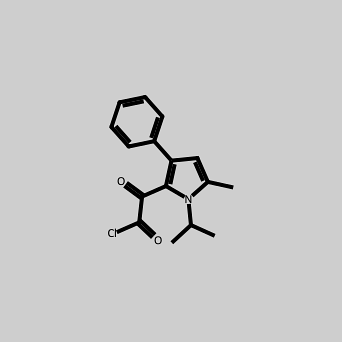 Cc1cc(-c2ccccc2)c(C(=O)C(=O)Cl)n1C(C)C